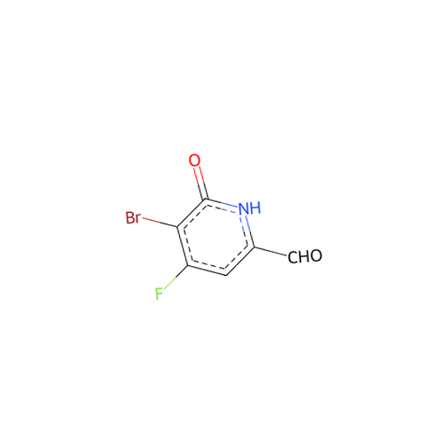 O=Cc1cc(F)c(Br)c(=O)[nH]1